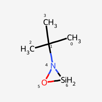 CC(C)(C)N1O[SiH2]1